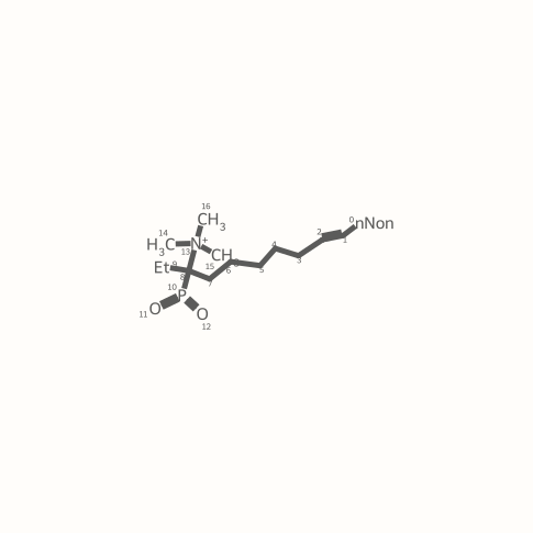 CCCCCCCCCC=CCCCCCC(CC)(P(=O)=O)[N+](C)(C)C